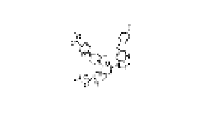 COC(=O)c1ccc(N2CCN(C[C@H]3CN(C(=O)OC(C)(C)C)[C@H](C)CN3CC(=O)N3CC(C)(C)c4ncc(Cc5ccc(F)cc5)cc43)C(C)C2)nc1